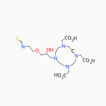 O=C(O)CN1CCN(CC(=O)O)CCN(CC(O)COCCN=C=S)CCN(CC(=O)O)CC1